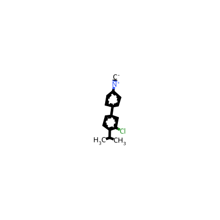 [C-]#[N+]c1ccc(-c2ccc(C(C)C)c(Cl)c2)cc1